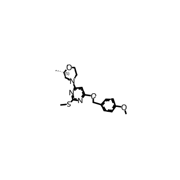 COc1ccc(COc2cc(N3CCO[C@@H](C)C3)nc(SC)n2)cc1